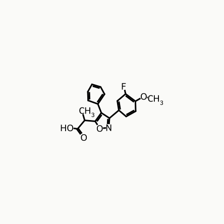 COc1ccc(-c2noc(C(C)C(=O)O)c2-c2ccccc2)cc1F